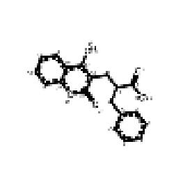 O=C(O)C(Cc1ccccc1)Cc1c(O)c2ccccc2oc1=O